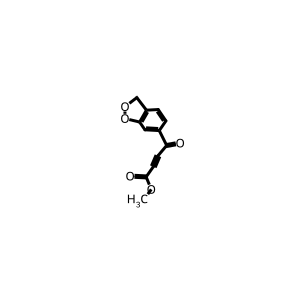 COC(=O)C#CC(=O)c1ccc2c(c1)OOC2